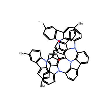 CC(C)(C)c1ccc2c(c1)c1cc(C(C)(C)C)ccc1n2-c1cc(-n2c3ccc(C(C)(C)C)cc3c3cc(C(C)(C)C)ccc32)cc(-n2c3c(-n4c5ccccc5c5ccccc54)cccc3c3cccc(-n4c5ccccc5c5ccccc54)c32)c1